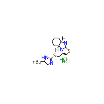 CCCCC1CN=C(SCC2=CSC3=N[C@@H]4CCCC[C@H]4N23)N1.Cl.Cl